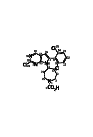 O=C(O)N1CCCC(n2c(-c3c(Cl)cccc3Cl)cc3cnc(Cl)nc32)CC1